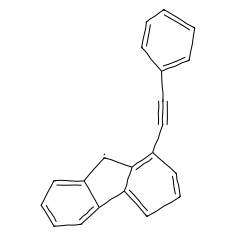 C(#Cc1cccc2c1[CH]c1ccccc1-2)c1ccccc1